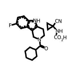 N#CC1(NC(=O)O)CC1.O=C(C1CCCCC1)N1CCc2[nH]c3ccc(F)cc3c2C1